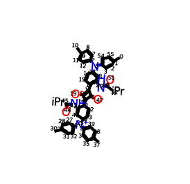 Cc1ccc(N(c2ccc(C)cc2)c2ccc(C3=C([O-])/C(=C4/C=CC(=[N+](c5ccc(C)cc5)c5ccc(C)cc5)C=C4NC(=O)C(C)C)C3=O)c(NC(=O)C(C)C)c2)cc1